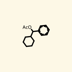 CC(=O)OC(c1ccccc1)C1CCCCC1